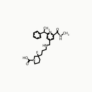 CNC(=O)c1cc(CNCCCC2(F)CCCN(C(=O)O)C2)cc(C(C)c2ccccc2)n1